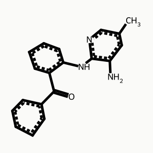 Cc1cnc(Nc2ccccc2C(=O)c2ccccc2)c(N)c1